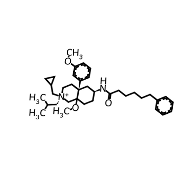 COc1cccc([C@]23CC[N@+](CC(C)C)(CC4CC4)CC2(OC)CC[C@H](NC(=O)CCCCCc2ccccc2)C3)c1